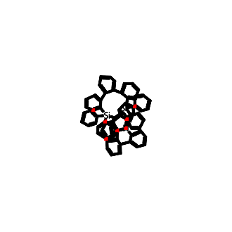 c1ccc([Si]2(c3ccccc3)c3ccccc3-c3ccccc3-c3ccccc3[Si](c3ccccc3)(c3ccccc3)c3cc(-c4ccccc4-c4ccccc4-n4c5ccccc5c5ccccc54)ccc32)cc1